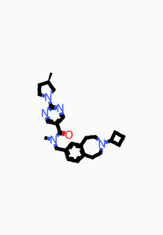 C[C@@H]1CCN(c2ncc(C(=O)N(C)Cc3ccc4c(c3)CCN(C3CCC3)CC4)cn2)C1